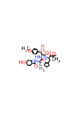 COc1ccc(C(O)C(NC(=O)C(C)NC(=O)C2CCC(O)CC2)C(=O)NC(CC2=CCCC2)C(=O)C2(C)CO2)cc1